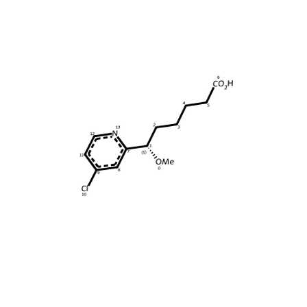 CO[C@@H](CCCCC(=O)O)c1cc(Cl)ccn1